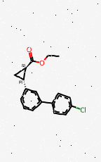 CCOC(=O)[C@@H]1C[C@H]1c1cccc(-c2ccc(Cl)cc2)c1